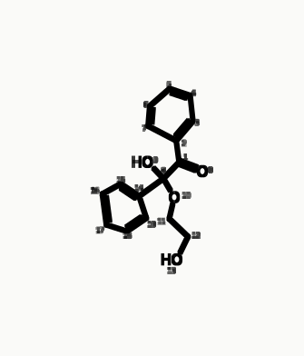 O=C(c1ccccc1)C(O)(OCCO)c1ccccc1